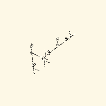 CCCCCC(CCCCC)CCOC(=O)CCCCCCCCCC(CCCCCCCCCC(=O)OCCC(CCCCC)CCCC(C)C(CCCC)C(CCCCC)CCOC(=O)CCCCCCCCCC(CCCCCCCCCC(=O)OCCC(CCCCC)CCCCC)OCCCCN1CCN(C)CC1)OCCCCN1CCCCC1